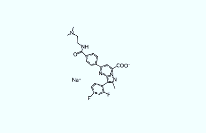 Cc1nn2c(C(=O)[O-])cc(-c3ccc(C(=O)NCCN(C)C)cc3)nc2c1-c1ccc(F)cc1F.[Na+]